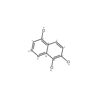 Clc1ccc2c(Cl)cnnc2c1Cl